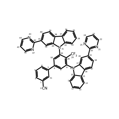 N#Cc1cccc(-c2cc(-n3c4ccccc4c4ccc(-c5ncccn5)cc43)c(C(F)(F)F)c(-n3c4ccccc4c4ccc(-c5ncccn5)cc43)c2)c1